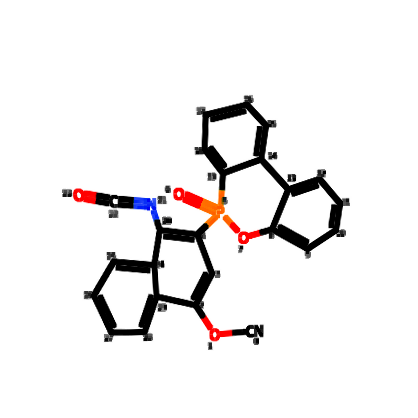 N#COc1cc(P2(=O)Oc3ccccc3-c3ccccc32)c(N=C=O)c2ccccc12